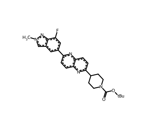 Cn1cc2cc(-c3ccc4nc(C5CCN(C(=O)OC(C)(C)C)CC5)ccc4n3)cc(F)c2n1